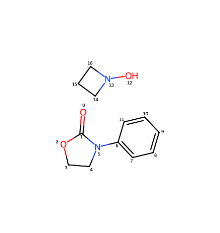 O=C1OCCN1c1ccccc1.ON1CCC1